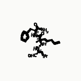 C=CCCC[C@](C)(NN[C@H](C=O)CC(C)C)C(=O)N[C@@H](Cc1ccccc1)C(N)=O